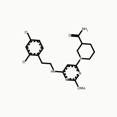 COc1nc(NCCc2ccc(Cl)cc2Cl)cc(N2CCCC(C(N)=O)C2)n1